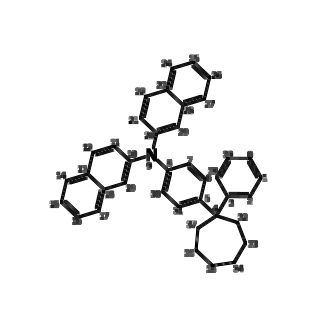 c1ccc(C2(c3ccc(N(c4ccc5ccccc5c4)c4ccc5ccccc5c4)cc3)CCCCCC2)cc1